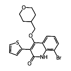 O=c1[nH]c2c(Br)cccc2c(OCC2CCOCC2)c1-c1cccs1